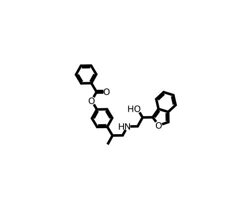 CC(CNCC(O)c1occ2ccccc12)c1ccc(OC(=O)c2ccccc2)cc1